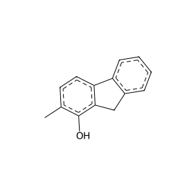 Cc1ccc2c(c1O)Cc1ccccc1-2